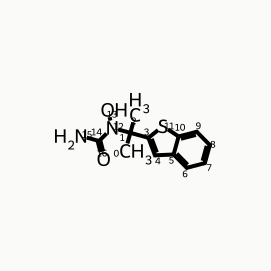 CC(C)(c1cc2ccccc2s1)N(O)C(N)=O